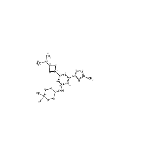 Cc1ccn(-c2cc(N3CC(N(C)C)C3)cc(NC3CCC(F)(F)CC3)n2)n1